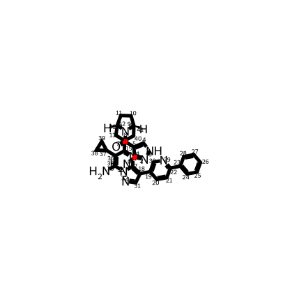 Nc1n[nH]cc1C(=O)N1[C@@H]2CC[C@H]1CC(c1nc3c(-c4ccc(-c5ccccc5)nc4)cnn3c(N)c1C1CC1)C2